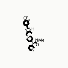 CNC(=O)N(c1cccnc1)C1CCN(Cc2nc(-c3ccc(C(F)(F)F)cc3)[nH]c2C)CC1